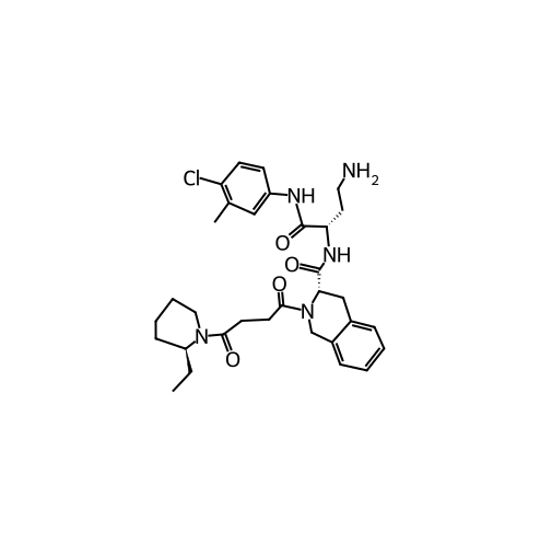 CC[C@H]1CCCCN1C(=O)CCC(=O)N1Cc2ccccc2C[C@H]1C(=O)N[C@@H](CCN)C(=O)Nc1ccc(Cl)c(C)c1